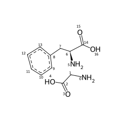 NCC(=O)O.N[C@@H](Cc1ccccc1)C(=O)O